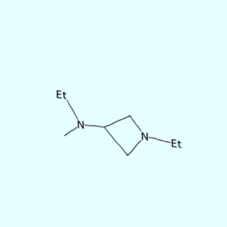 CCN1CC(N(C)CC)C1